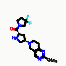 COc1ncc2c(n1)CCN([C@@H]1CN[C@H](C(=O)N3CCC(F)(F)C3)C1)C2